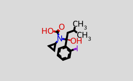 CC(C)C[C@](O)(c1ccccc1I)N(C(=O)O)C1CC1